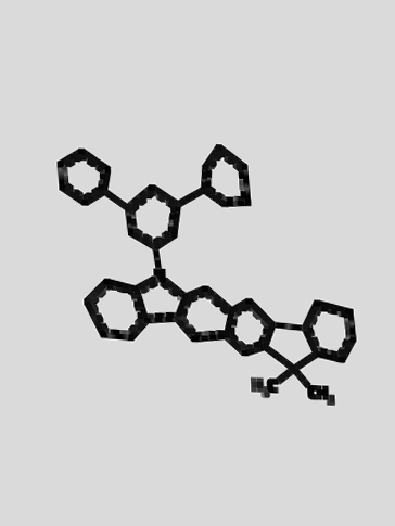 CC1(C)c2ccccc2-c2cc3cc4c(cc3cc21)c1ccccc1n4-c1cc(-c2ccccc2)cc(-c2ccccc2)c1